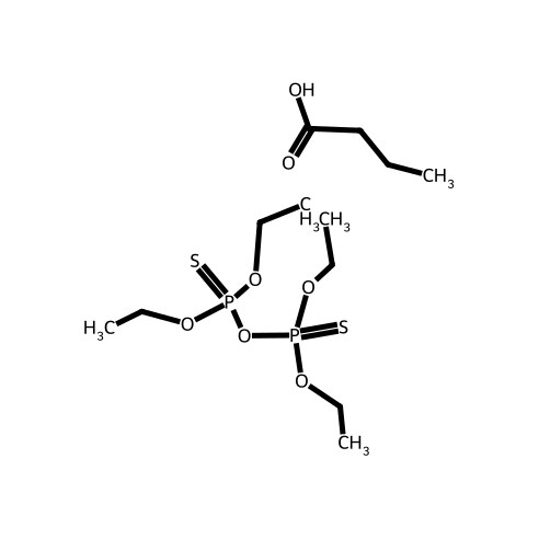 CCCC(=O)O.CCOP(=S)(OCC)OP(=S)(OCC)OCC